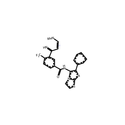 CN/C=C\C(=N)c1cc(C(=O)Nc2c(-c3ccccc3)nc3sccn23)ccc1C(F)(F)F